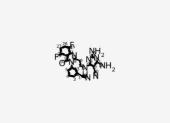 N#Cc1cccc(-n2c(CCNc3nc(N)nc(N)c3C#N)nc3c(F)ccc(F)c3c2=O)c1